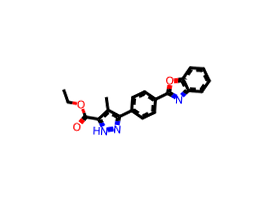 CCOC(=O)c1[nH]nc(-c2ccc(-c3nc4ccccc4o3)cc2)c1C